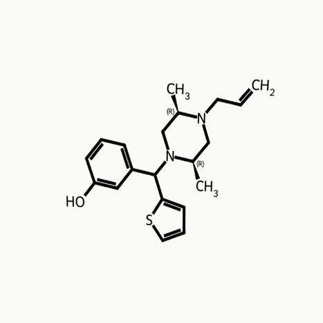 C=CCN1C[C@@H](C)N(C(c2cccc(O)c2)c2cccs2)C[C@H]1C